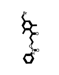 Cc1cc(CBr)cc(C)c1C(=O)CCO[PH](=O)c1ccccc1